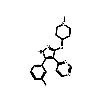 Cc1cccc(-c2[nH]nc(SC3CCN(C)CC3)c2-c2ccncn2)c1